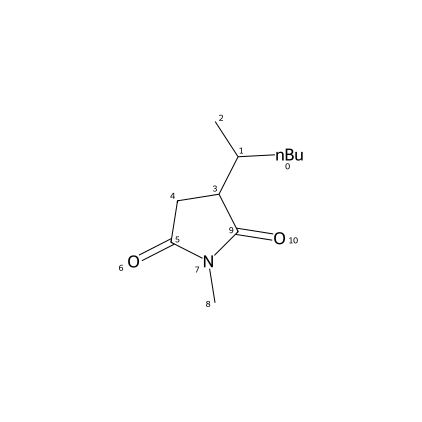 CCCCC(C)C1CC(=O)N(C)C1=O